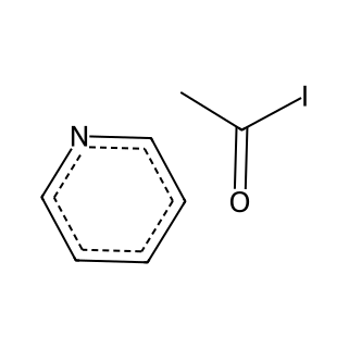 CC(=O)I.c1ccncc1